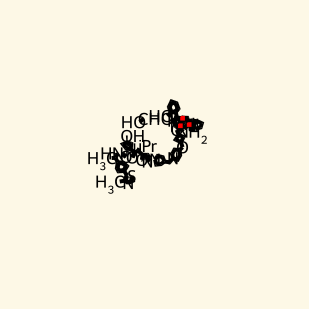 Cc1ncsc1-c1ccc(C(C)NC(=O)[C@@H]2C[C@@H](O)CN2C(=O)C(c2cc(N3CCC(CN4CCC(OC5CC(Oc6cc(N7C8CCC7CN(c7cc(-c9ccccc9O)nnc7N)C8)ccn6)C5)CC4)CC3)no2)C(C)C)cc1.O=CO